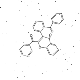 O=C(c1ccccc1)c1ccccc1-c1c(C(=O)c2ccccc2)oc2ccccc2c1=O